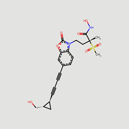 C[C@@](CCn1c(=O)oc2cc(C#CC#C[C@H]3C[C@@H]3CO)ccc21)(C(=O)NO)S(C)(=O)=O